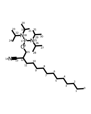 CCCCCCCCCCCCC(C#N)COP(N(C(C)C)C(C)C)N(C(C)C)C(C)C